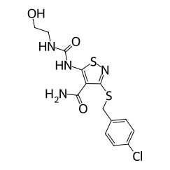 NC(=O)c1c(SCc2ccc(Cl)cc2)nsc1NC(=O)NCCO